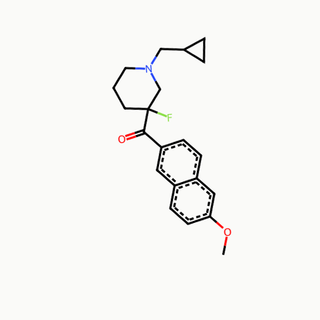 COc1ccc2cc(C(=O)C3(F)CCCN(CC4CC4)C3)ccc2c1